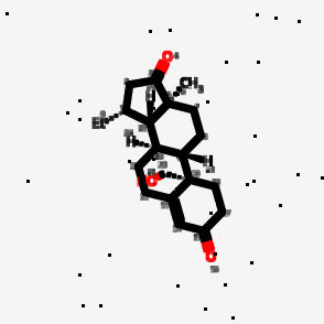 CC[C@@H]1CC(=O)[C@@]2(C)CC[C@H]3[C@@H](CCC4=CC(=O)CC[C@@]43CO)[C@H]12